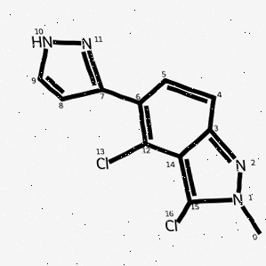 Cn1nc2ccc(-c3cc[nH]n3)c(Cl)c2c1Cl